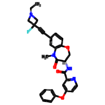 CN1C(=O)[C@@H](NC(=O)c2cc(Oc3ccccc3)ccn2)COc2ccc(C#CC3(F)CN(CC(F)(F)F)C3)cc21